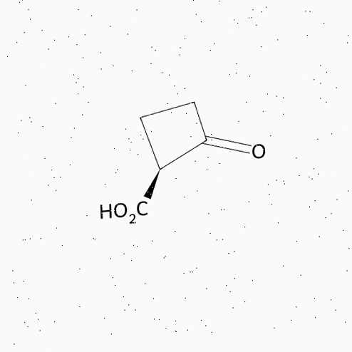 O=C(O)[C@H]1CCC1=O